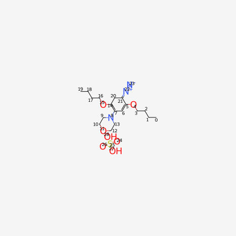 CCCCOC1=CC(N2CCOCC2)=C(OCCCC)CC1=[N+]=[N-].O=S(=O)(O)O